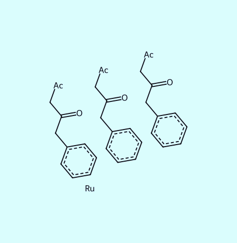 CC(=O)CC(=O)Cc1ccccc1.CC(=O)CC(=O)Cc1ccccc1.CC(=O)CC(=O)Cc1ccccc1.[Ru]